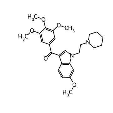 COc1ccc2c(C(=O)c3cc(OC)c(OC)c(OC)c3)cn(CCN3CCCCC3)c2c1